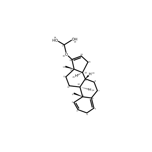 C[C@]12C=CCC=C1CC[C@@H]1[C@@H]2CC[C@]2(C)C(OC(O)O)=CC[C@@H]12